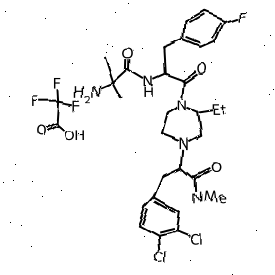 CCC1CN(C(Cc2ccc(Cl)c(Cl)c2)C(=O)NC)CCN1C(=O)C(Cc1ccc(F)cc1)NC(=O)C(C)(C)N.O=C(O)C(F)(F)F